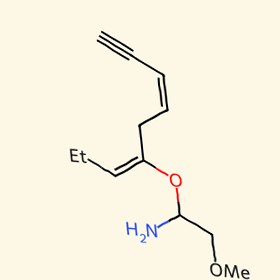 C#C/C=C\C/C(=C\CC)OC(N)COC